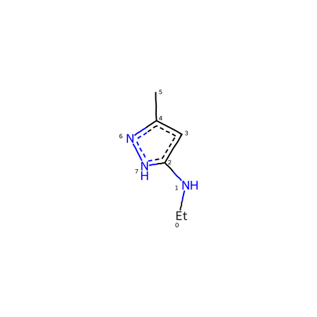 CCNc1cc(C)n[nH]1